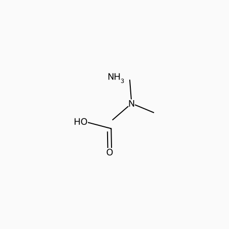 CN(C)C.N.O=CO